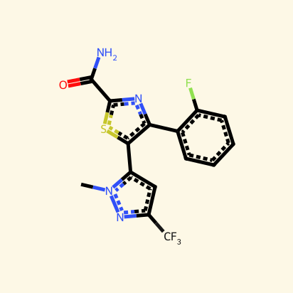 Cn1nc(C(F)(F)F)cc1-c1sc(C(N)=O)nc1-c1ccccc1F